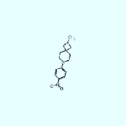 CN1CC2(CCN(c3ccc([N+](=O)[O-])cc3)CC2)C1